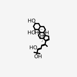 CC(=CC=C(O)C(C)(C)O)C1=CC[C@H]2[C@@H]3CCC4CC(O)CC(O)[C@]4(C)[C@H]3CC[C@]12C